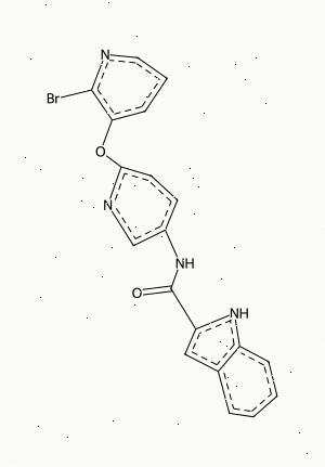 O=C(Nc1ccc(Oc2cccnc2Br)nc1)c1cc2ccccc2[nH]1